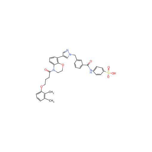 Cc1cccc(OCCCC(=O)N2CCOc3c(-c4cnn(Cc5cccc(C(=O)Nc6ccc(S(=O)(=O)O)cc6)c5)c4)cccc32)c1C